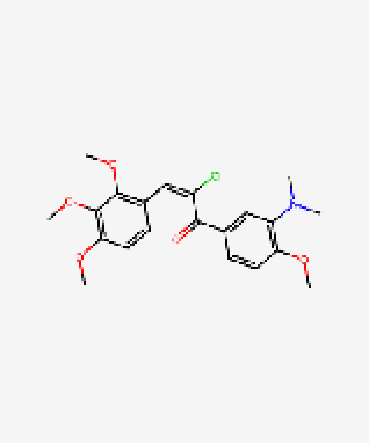 COc1ccc(C(=O)/C(Cl)=C\c2ccc(OC)c(OC)c2OC)cc1N(C)C